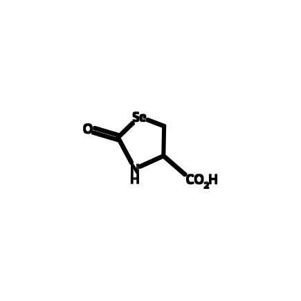 O=C1NC(C(=O)O)C[Se]1